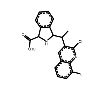 CC(c1cc2cccc(Cl)c2nc1Cl)C1NC(C(=O)C=O)c2ccccc21